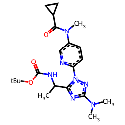 CC(NC(=O)OC(C)(C)C)c1nc(N(C)C)nn1-c1ccc(N(C)C(=O)C2CC2)cn1